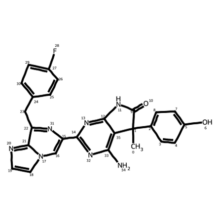 CC1(c2ccc(O)cc2)C(=O)Nc2nc(-c3cn4ccnc4c(Cc4ccc(F)cc4)n3)nc(N)c21